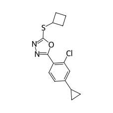 Clc1cc(C2CC2)ccc1-c1nnc(SC2CCC2)o1